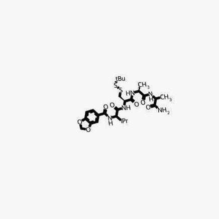 CC(NC(=O)[C@H](C)NC(=O)[C@H](CSSC(C)(C)C)NC(=O)C(NC(=O)c1ccc2c(c1)OCO2)C(C)C)C(N)=O